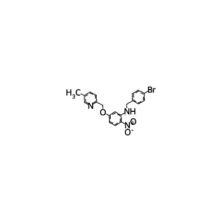 Cc1ccc(COc2ccc([N+](=O)[O-])c(NCc3ccc(Br)cc3)c2)nc1